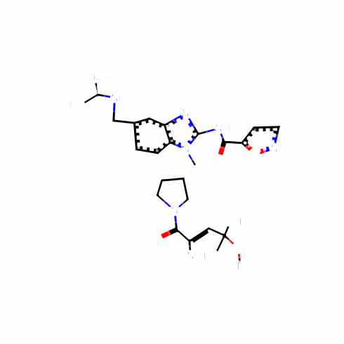 CCOC(C)(C)C=C(C#N)C(=O)N1CC[C@H](Cn2c(NC(=O)c3ccno3)nc3cc(CN[C@@H](C)C(C)(C)C)ccc32)C1